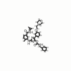 Cc1ccc(C(=O)NC2CC2)cc1Nc1nc(-c2cccc(OCCN3CCOCC3)c2)c(OC(=O)NCc2ccccc2)s1